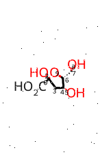 O=C(O)[C@]1(O)C[C@@H](O)[C@@H](CO)O1